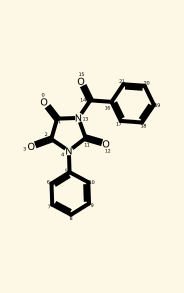 O=C1C(=O)N(c2ccccc2)C(=O)N1C(=O)c1ccccc1